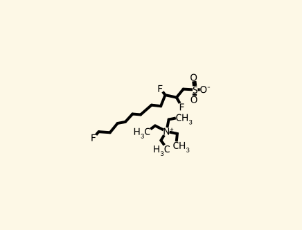 CC[N+](CC)(CC)CC.O=S(=O)([O-])CC(F)C(F)CCCCCCCCF